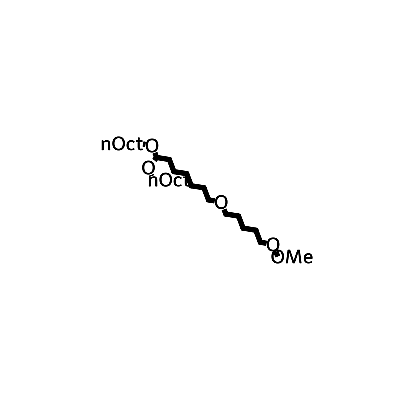 CCCCCCCCOC(CCCCCCOCCCCCOOC)OCCCCCCCC